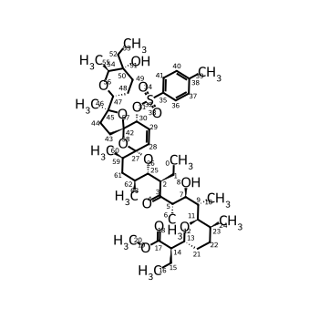 CC[C@@H](C(=O)[C@@H](C)[C@@H](O)[C@H](C)[C@@H]1O[C@@H]([C@@H](CC)C(=O)OC)CC[C@@H]1C)[C@H]1O[C@]2(C=C[C@@H](OS(=O)(=O)c3ccc(C)cc3)[C@]3(CC[C@@](C)([C@H]4CC[C@](O)(CC)[C@H](C)O4)O3)O2)[C@H](C)C[C@@H]1C